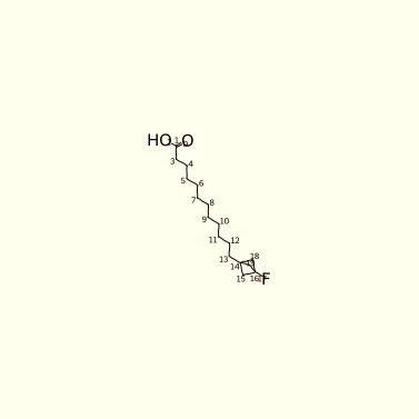 O=C(O)CCCCCCCCCCCC12CC(F)(C1)C2